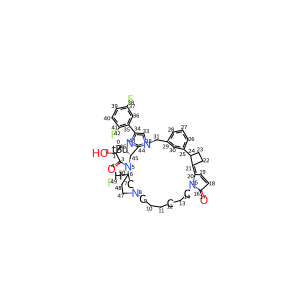 C[C@H](O)C(=O)N1[C@@H]2CN(CCCCCCN3C(=O)C=C/C3=C3\CCC3c3cccc(c3)Cn3cc(-c4cc(F)ccc4F)nc3[C@H]1C(C)(C)C)C[C@@H]2F